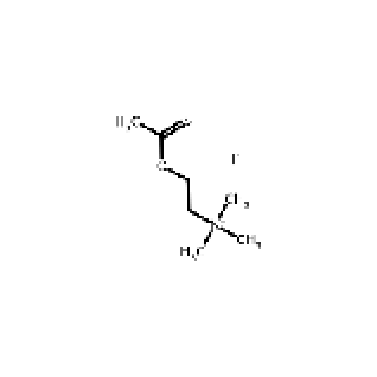 CC(=S)OCC[N+](C)(C)C.[I-]